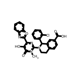 Cn1c(N2CCc3ccc(C(=O)O)cc3C2c2ccccc2Cl)nc(-c2nc3ccccc3o2)c(O)c1=O